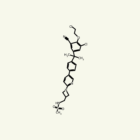 CC(C)(c1ccc(-c2ccc(N3CC(CNS(C)(=O)=O)C3)nc2)cc1)c1cc(Cl)c(OCCCl)c(C#N)c1